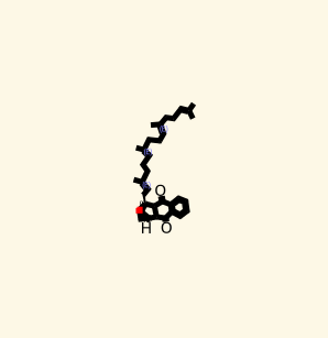 CC(C)=CCC/C(C)=C/CC/C(C)=C/CC/C(C)=C/C[C@]12C=C[C@H](C1)C1C(=O)c3ccccc3C(=O)C12